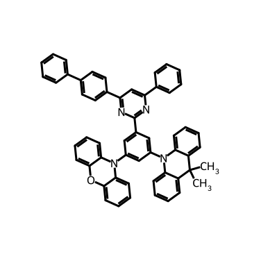 CC1(C)c2ccccc2N(c2cc(-c3nc(-c4ccccc4)cc(-c4ccc(-c5ccccc5)cc4)n3)cc(N3c4ccccc4Oc4ccccc43)c2)c2ccccc21